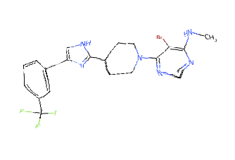 CNc1ncnc(N2CCC(c3nc(-c4cccc(C(F)(F)F)c4)c[nH]3)CC2)c1Br